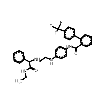 CCNC(=O)C(NCCNc1ccc(NC(=O)c2ccccc2-c2ccc(C(F)(F)F)cc2)cc1)c1ccccc1